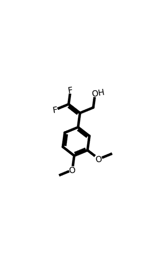 COc1ccc(C(CO)=C(F)F)cc1OC